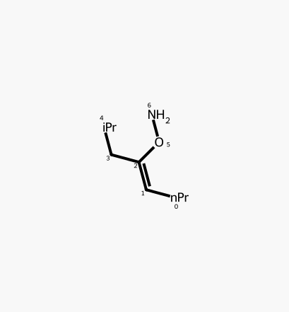 CCC/C=C(/CC(C)C)ON